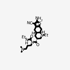 CCNC(=O)N(CCCN(C)C)C(=O)[C@@H]1C[C@@H]2Cc3c(sc(N)c3C#N)C[C@H]2N(CC)C1